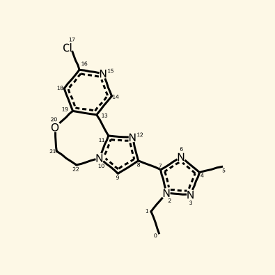 CCn1nc(C)nc1-c1cn2c(n1)-c1cnc(Cl)cc1OCC2